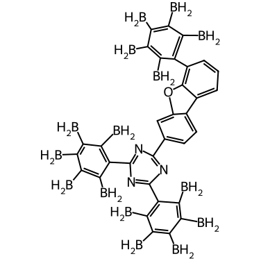 Bc1c(B)c(B)c(-c2nc(-c3ccc4c(c3)oc3c(-c5c(B)c(B)c(B)c(B)c5B)cccc34)nc(-c3c(B)c(B)c(B)c(B)c3B)n2)c(B)c1B